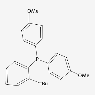 COc1ccc(P(c2ccc(OC)cc2)c2ccccc2C(C)(C)C)cc1